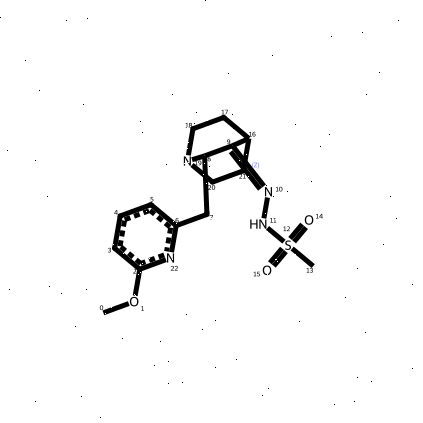 COc1cccc(CC2/C(=N\NS(C)(=O)=O)C3CCN2CC3)n1